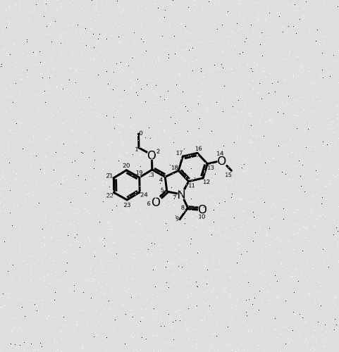 CCOC(=C1C(=O)N(C(C)=O)c2cc(OC)ccc21)c1ccccc1